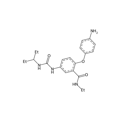 CCNC(=O)c1cc(NC(=O)NC(CC)CC)ccc1Oc1ccc(N)cc1